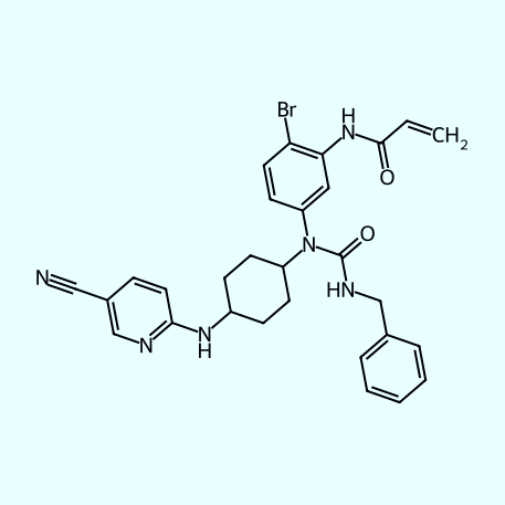 C=CC(=O)Nc1cc(N(C(=O)NCc2ccccc2)C2CCC(Nc3ccc(C#N)cn3)CC2)ccc1Br